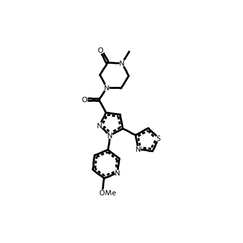 COc1ccc(-n2nc(C(=O)N3CCN(C)C(=O)C3)cc2-c2cscn2)cn1